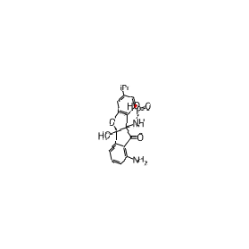 CC(C)c1ccc2c(c1)OC1(O)c3cccc(N)c3C(=O)C21N[P](=O)O